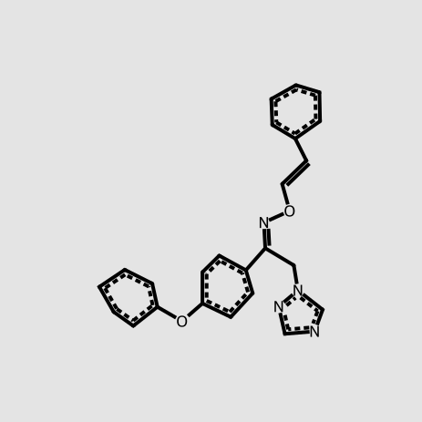 C(=Cc1ccccc1)ON=C(Cn1cncn1)c1ccc(Oc2ccccc2)cc1